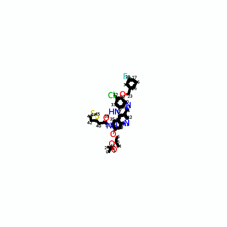 CC1(C)OCC(COc2cc3ncc(C#N)c(Nc4ccc(OCc5cccc(F)c5)c(Cl)c4)c3cc2NC(=O)CC2CCSS2)O1